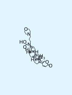 C[C@]12CC[C@H](N(CCCN3CCOCC3)C(=O)O)C[C@H]1CC[C@@H]1[C@@H]2CC[C@]2(C)[C@@H](c3ccc(=O)oc3)CC[C@]12O